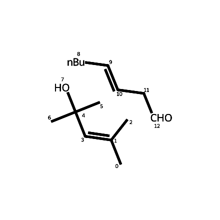 CC(C)=CC(C)(C)O.CCCCC=CCC=O